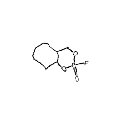 O=P1(F)OCC2CCCCC2O1